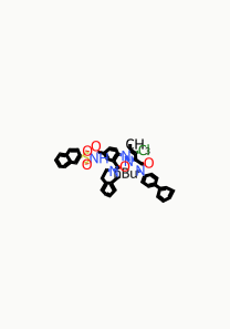 CCCCN(C(=O)c1nn(-c2ccc(C(=O)NS(=O)(=O)c3ccc4ccccc4c3)cc2C(=O)N2CCc3ccccc3C2)c(C)c1Cl)c1ccc(-c2ccccc2)cc1